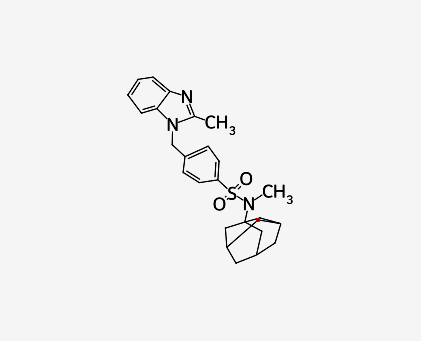 Cc1nc2ccccc2n1Cc1ccc(S(=O)(=O)N(C)C23CC4CC(CC(C4)C2)C3)cc1